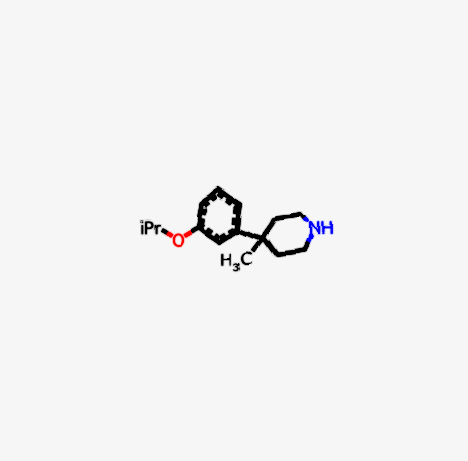 CC(C)Oc1cccc(C2(C)CCNCC2)c1